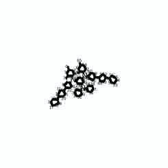 Cc1ccc(N(c2ccc(-c3ccc(-c4ccccc4)cc3)cc2)c2cc(N(c3ccccc3)c3ccccc3)cc(N(c3ccc(-c4ccc(-c5ccccc5)cc4)cc3)c3ccc(C)cc3C)c2)c(C)c1